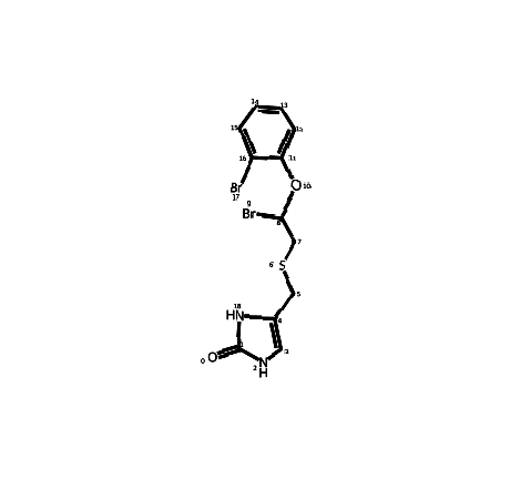 O=c1[nH]cc(CSCC(Br)Oc2ccccc2Br)[nH]1